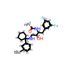 CCCC(=O)NC(Cc1cc(F)cc(F)c1)C(O)CNC1(c2cccc(C(C)(C)C)c2)CCCCC1